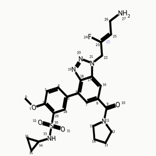 COc1ccc(-c2cc(C(=O)N3CCCC3)cc3c2nnn3C/C(F)=C/CN)cc1S(=O)(=O)NC1CC1